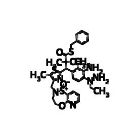 CCN(N)c1ccc(C(c2nc(CN3CCOc4ncccc4[S+]3[O-])c(C)s2)C(C)(C)C(=O)SCc2ccccc2)c(C)c1N